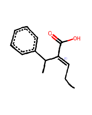 CC/C=C(/C(=O)O)C(C)c1ccccc1